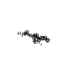 COC(=O)[C@@H]1C[C@]2(COCCNC(C)=O)C[C@@H]2N1C(=O)CNC(=O)c1ccc(Oc2ccccc2)cc1